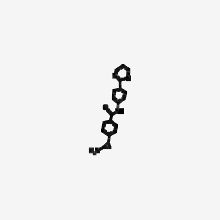 NC1CC1c1ccc(C(=O)Nc2ccc(-c3ncccn3)cc2)cc1